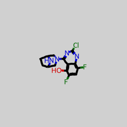 Oc1c(F)cc(F)c2nc(Cl)nc(N3CC4CCC(C3)N4)c12